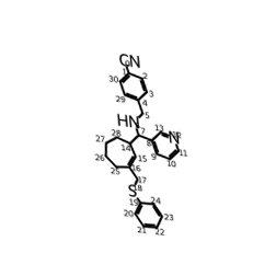 N#Cc1ccc(CNC(c2cccnc2)C2C=C(CSc3ccccc3)CCCC2)cc1